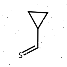 S=[C]C1CC1